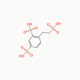 O=S(=O)(O)CCc1ccc(S(=O)(=O)O)cc1S(=O)(=O)O